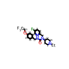 CCN1CCC(N(Cc2ccc(F)cn2)C(=O)NCc2ccc(OCC(F)(F)F)cc2)CC1